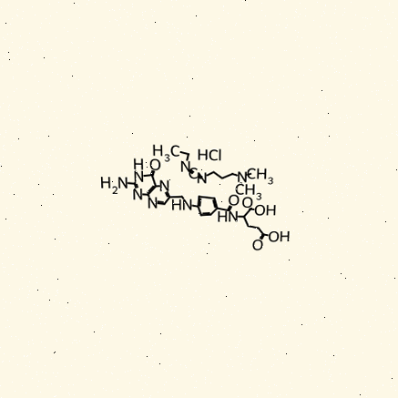 CCN=C=NCCCN(C)C.Cl.Nc1nc2ncc(CNc3ccc(C(=O)NC(CCC(=O)O)C(=O)O)cc3)nc2c(=O)[nH]1